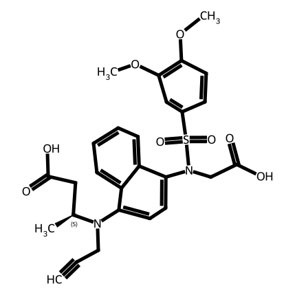 C#CCN(c1ccc(N(CC(=O)O)S(=O)(=O)c2ccc(OC)c(OC)c2)c2ccccc12)[C@@H](C)CC(=O)O